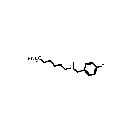 CCOC(=O)CCCCCNCc1ccc(F)cc1